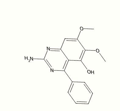 COc1cc2nc(N)nc(-c3ccccc3)c2c(O)c1OC